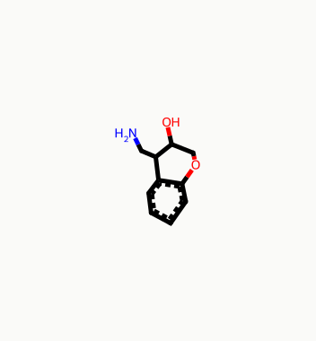 NCC1c2ccccc2OCC1O